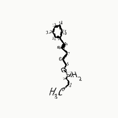 CCC[SiH2]OCCCC=Cc1ccccc1